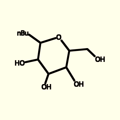 CCCCC1OC(CO)C(O)C(O)C1O